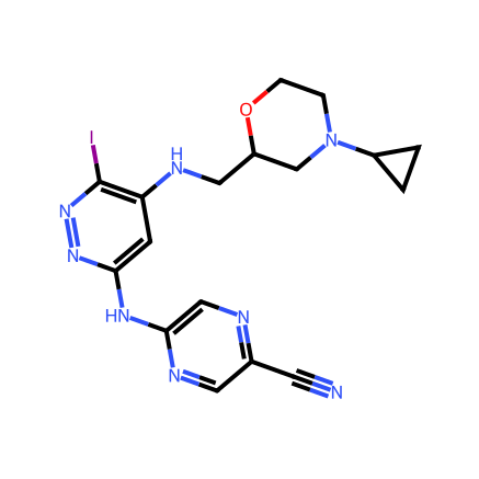 N#Cc1cnc(Nc2cc(NCC3CN(C4CC4)CCO3)c(I)nn2)cn1